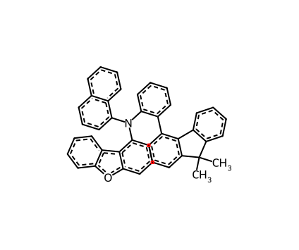 CC1(C)c2ccccc2-c2c(-c3ccccc3N(c3cccc4ccccc34)c3cccc4oc5ccccc5c34)cccc21